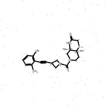 Cc1cccc(C#N)c1C#CC1CN(C(=O)N2CC[C@@H]3OCC(=O)N[C@@H]3C2)C1